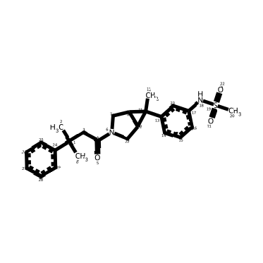 CC(C)(CC(=O)N1CC2C(C1)C2(C)c1cccc(NS(C)(=O)=O)c1)c1ccccc1